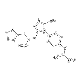 CCCCc1ncc(/C=C(\Cc2cccs2)C(=O)O)n1-c1ccc(OC(C)C(=O)O)cc1